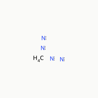 C.[N].[N].[N].[N]